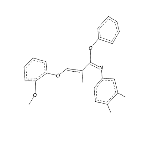 COc1ccccc1O/C=C(C)/C(=N\c1ccc(C)c(C)c1)Oc1ccccc1